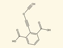 C#COC#Cc1c(C(=O)O)cccc1C(=O)O